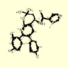 CC1(C)C[C@@H](NC(=O)c2c[nH]cn2)c2cc(-c3ccc(Cl)cc3)c(-c3ccc(Cl)cc3Cl)nc2O1